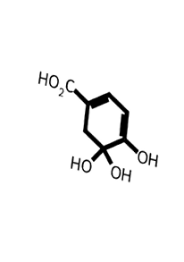 O=C(O)C1=CC=C(O)C(O)(O)C1